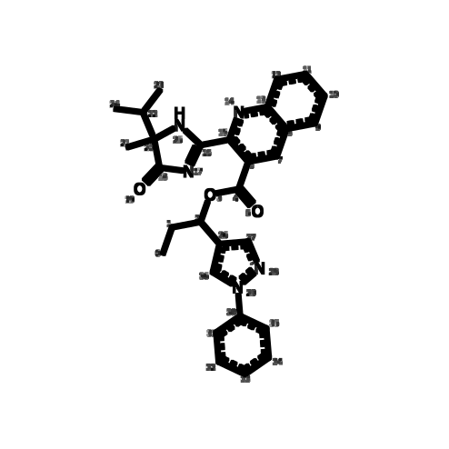 CCC(OC(=O)c1cc2ccccc2nc1C1=NC(=O)C(C)(C(C)C)N1)c1cnn(-c2ccccc2)c1